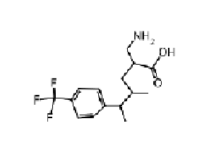 CC(CC(CN)C(=O)O)C(C)c1ccc(C(F)(F)F)cc1